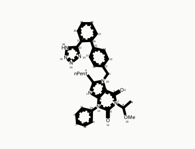 CCCCCc1nc2c(c(=O)n(C(C)OC)c(=O)n2-c2ccccc2)n1Cc1ccc(-c2ccccc2-c2nnn[nH]2)cc1